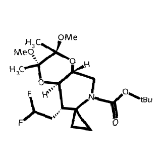 CO[C@@]1(C)O[C@@H]2[C@@H](CC(F)F)C3(CC3)N(C(=O)OC(C)(C)C)C[C@H]2O[C@]1(C)OC